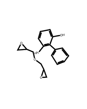 C(OCC1CO1)C1CO1.CCCc1cccc(O)c1-c1ccccc1